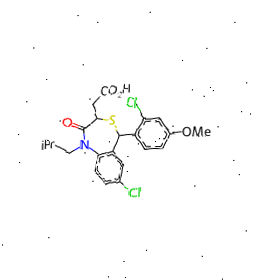 COc1ccc(C2SC(CC(=O)O)C(=O)N(CC(C)C)c3ccc(Cl)cc32)c(Cl)c1